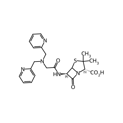 CC1(C)SC2[C@H](NC(=O)CN(Cc3ccccn3)Cc3ccccn3)C(=O)N2[C@H]1C(=O)O